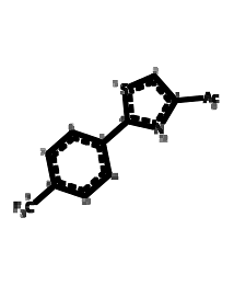 CC(=O)c1csc(-c2ccc(C(F)(F)F)cc2)n1